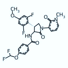 COc1cc(F)c([C@@H]2CN(c3cccn(C)c3=O)C(=O)C2NC(=O)c2ccc(OC(F)F)cc2)c(F)c1